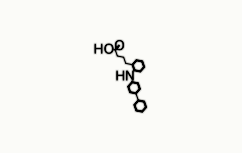 O=C(O)CCCc1ccccc1Nc1ccc(-c2ccccc2)cc1